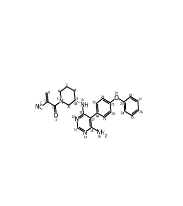 C=C(C#N)C(=O)N1CCC[C@H](Nc2ncnc(N)c2-c2ccc(Oc3ccccc3)cc2)C1